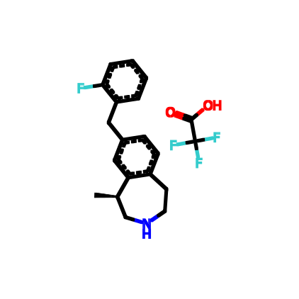 C[C@@H]1CNCCc2ccc(Cc3ccccc3F)cc21.O=C(O)C(F)(F)F